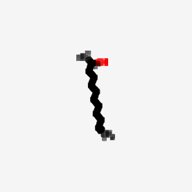 C=CCCCCCCCCC(O)CCC